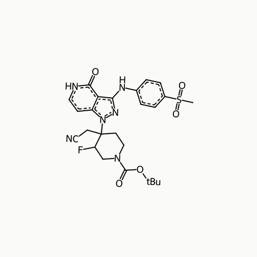 CC(C)(C)OC(=O)N1CCC(CC#N)(n2nc(Nc3ccc(S(C)(=O)=O)cc3)c3c(=O)[nH]ccc32)C(F)C1